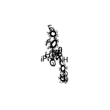 CC(C)C(=O)N(CC(C)(NCc1ccc(Oc2ncccn2)cc1)C(N)=O)NCc1ccc(-c2ccc(F)cc2)c(F)c1